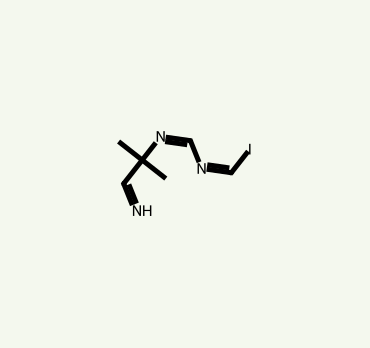 CC(C)(C=N)/N=C\N=C/I